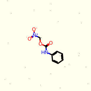 O=C(Nc1ccccc1)O[CH][N+](=O)[O-]